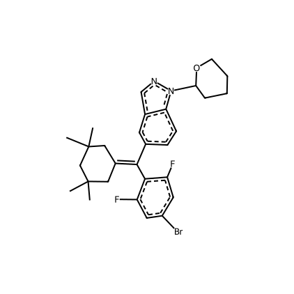 CC1(C)CC(=C(c2ccc3c(cnn3C3CCCCO3)c2)c2c(F)cc(Br)cc2F)CC(C)(C)C1